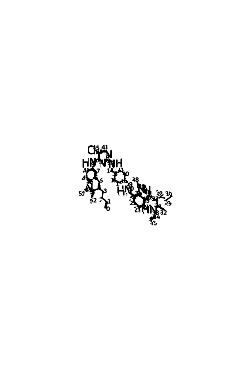 C=CCCC1=Cc2cc(Nc3nc(NCC4CCC(CNc5cccc6c(C(CCC)C(=C)NC=C)nn(C)c56)CC4)ncc3Cl)ccc2N(C)C1=C